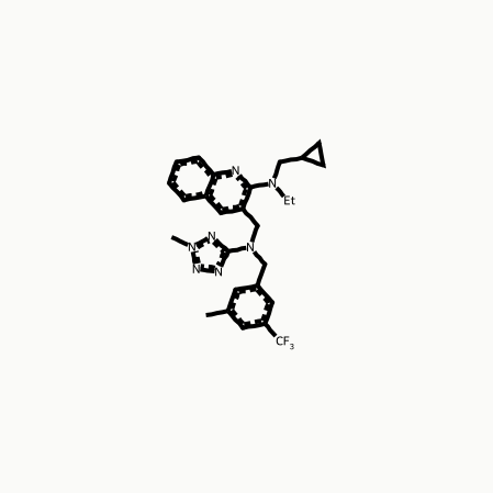 CCN(CC1CC1)c1nc2ccccc2cc1CN(Cc1cc(C)cc(C(F)(F)F)c1)c1nnn(C)n1